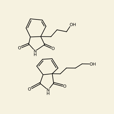 O=C1NC(=O)C2(CCCCO)C=CC=CC12.O=C1NC(=O)C2(CCCO)C=CC=CC12